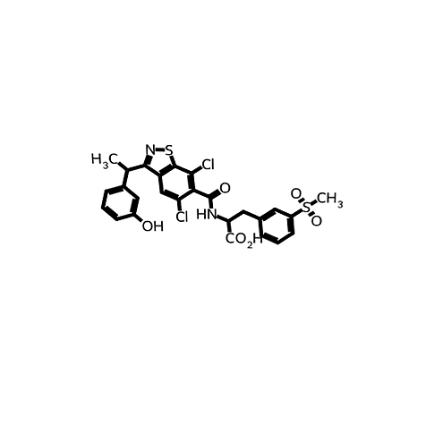 CC(c1cccc(O)c1)c1nsc2c(Cl)c(C(=O)NC(Cc3cccc(S(C)(=O)=O)c3)C(=O)O)c(Cl)cc12